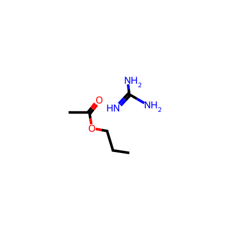 CCCOC(C)=O.N=C(N)N